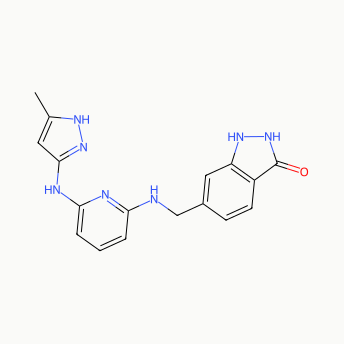 Cc1cc(Nc2cccc(NCc3ccc4c(=O)[nH][nH]c4c3)n2)n[nH]1